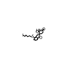 O=C1CCC(N2Cc3c(SCCCCCI)cccc3C2=O)C(=O)N1